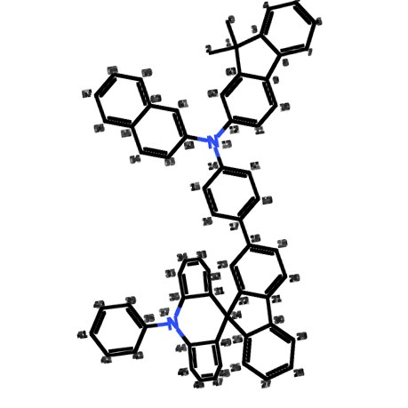 CC1(C)c2ccccc2-c2ccc(N(c3ccc(-c4ccc5c(c4)C4(c6ccccc6-5)c5ccccc5N(c5ccccc5)c5ccccc54)cc3)c3ccc4ccccc4c3)cc21